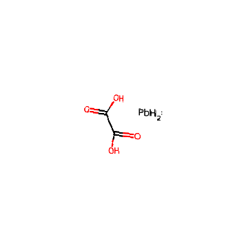 O=C(O)C(=O)O.[PbH2]